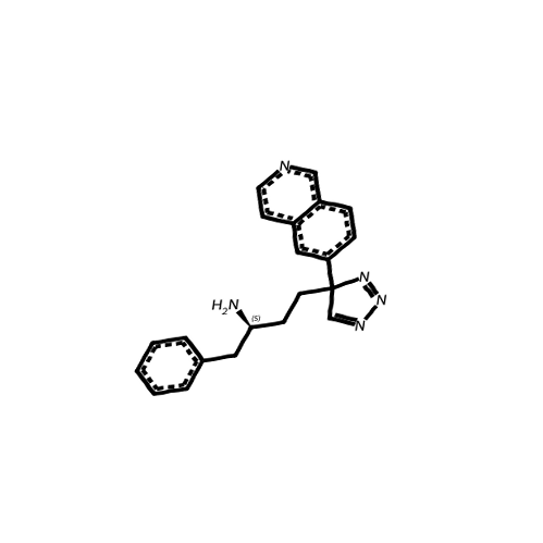 N[C@@H](CCC1(c2ccc3cnccc3c2)C=NN=N1)Cc1ccccc1